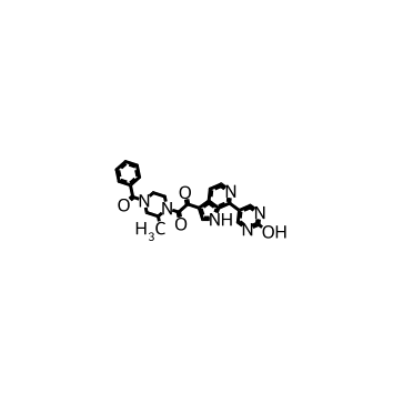 CC1CN(C(=O)c2ccccc2)CCN1C(=O)C(=O)c1c[nH]c2c(-c3cnc(O)nc3)nccc12